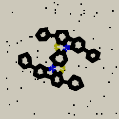 c1ccc(-c2ccc3c4ccc(-c5ccccc5)c5sc6cc7c(cc6n(c3c2)c54)sc2c(-c3ccccc3)ccc3c4ccc(-c5ccccc5)cc4n7c23)cc1